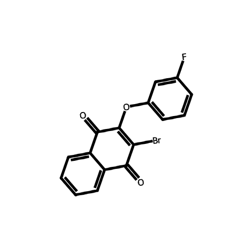 O=C1C(Br)=C(Oc2cccc(F)c2)C(=O)c2ccccc21